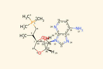 C=P(C)(C)CC(C)[C@@]12CO[C@@H]([C@H](n3cnc4c(N)ccnc43)O1)[C@@H]2O